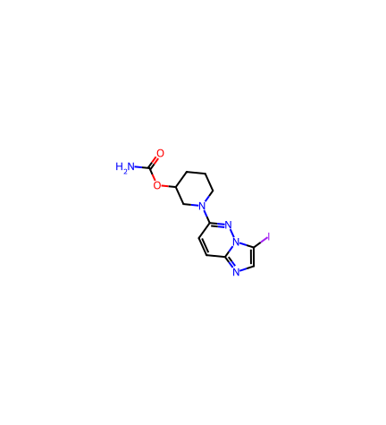 NC(=O)OC1CCCN(c2ccc3ncc(I)n3n2)C1